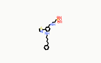 O=P(O)(O)CCCNCc1ccc(NCCCCCc2ccccc2)c(-c2nccs2)c1